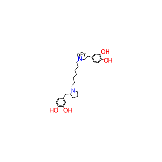 CCCN(CCCCCCCN1CCCC1Cc1ccc(O)c(O)c1)CCc1ccc(O)c(O)c1